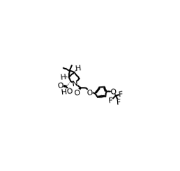 CC1(C)[C@@H]2[C@@H](C(=O)O)N(C(=O)COc3ccc(OC(F)(F)F)cc3)C[C@@H]21